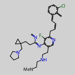 C=N/C(CCC1(CN2CCCC2)CC1)=N\c1c(CCNCCNC)cnc(C/C=C\C=c2\cccc(Cl)c2=C)c1F